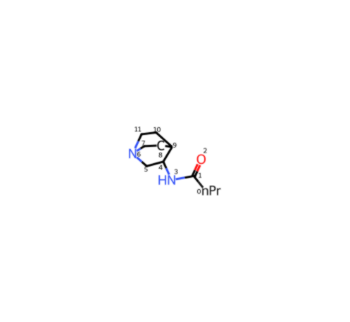 CCCC(=O)NC1CN2CCC1CC2